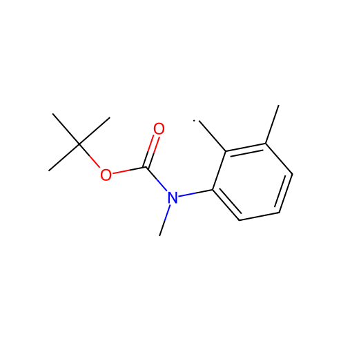 [CH2]c1c(C)cccc1N(C)C(=O)OC(C)(C)C